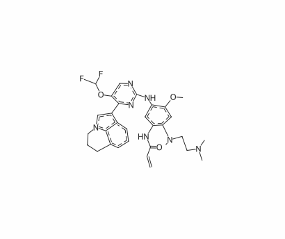 C=CC(=O)Nc1cc(Nc2ncc(OC(F)F)c(-c3cn4c5c(cccc35)CCC4)n2)c(OC)cc1N(C)CCN(C)C